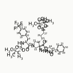 CC(C)(C)OC(=O)N[C@@H](Cc1ccc(C(F)(F)F)cc1)C(=O)N1C[C@H](CCCB2OC(C)(C)C(C)(C)O2)[C@](N=[N+]=[N-])(C(=O)OCC(=O)c2ccccc2)C1